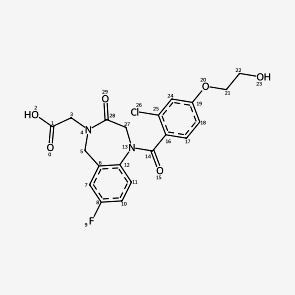 O=C(O)CN1Cc2cc(F)ccc2N(C(=O)c2ccc(OCCO)cc2Cl)CC1=O